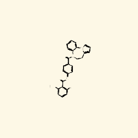 Cc1cccc(C)c1C(=O)Nc1ccc(C(=O)N2CCc3cccn3-c3ccccc32)cc1